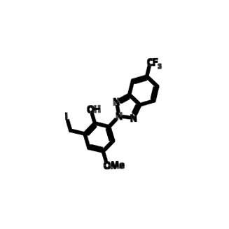 COc1cc(CI)c(O)c(-n2nc3ccc(C(F)(F)F)cc3n2)c1